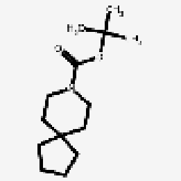 CC(C)(C)OC(=O)N1CCC2(CCCC2)CC1